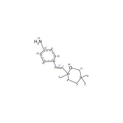 CC1(C)CCC(C)(/C=C/c2ccc(N)cc2)OC1